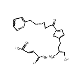 CC(CO)CCc1ccc(C(=O)CCCCc2ccccc2)s1.O=C(O)C=CC(=O)O